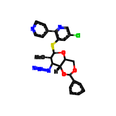 COC1C(N=[N+]=[N-])[C@H]2OC(c3ccccc3)OCC2O[C@@H]1Sc1cc(Cl)cnc1-c1ccncc1